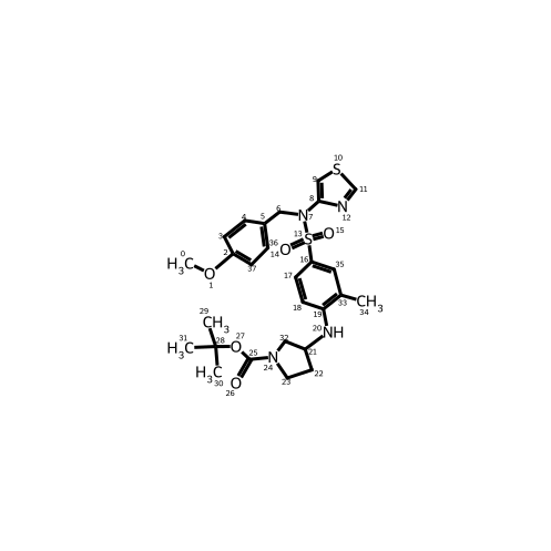 COc1ccc(CN(c2cscn2)S(=O)(=O)c2ccc(NC3CCN(C(=O)OC(C)(C)C)C3)c(C)c2)cc1